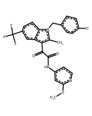 COc1cc(NC(=O)C(=O)c2c(C)n(Cc3ccc(Cl)cc3)c3ccc(C(F)(F)F)cc23)ccn1